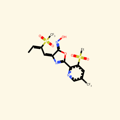 C\C=C(/C=C1/N=C(c2ncc(C(F)(F)F)cc2S(=O)(=O)CC)O/C1=N\O)S(=O)(=O)C(F)(F)F